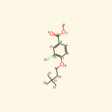 COC(=O)c1ccc(OCCC(C)(C)C)c(F)c1